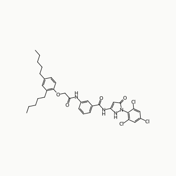 CCCCCc1ccc(OCC(=O)Nc2cccc(C(=O)Nc3cc(=O)n(-c4c(Cl)cc(Cl)cc4Cl)[nH]3)c2)c(CCCCC)c1